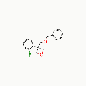 Fc1ccccc1C1(COCc2ccccc2)COC1